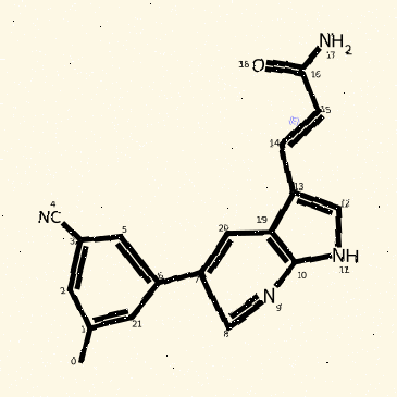 Cc1cc(C#N)cc(-c2cnc3[nH]cc(/C=C/C(N)=O)c3c2)c1